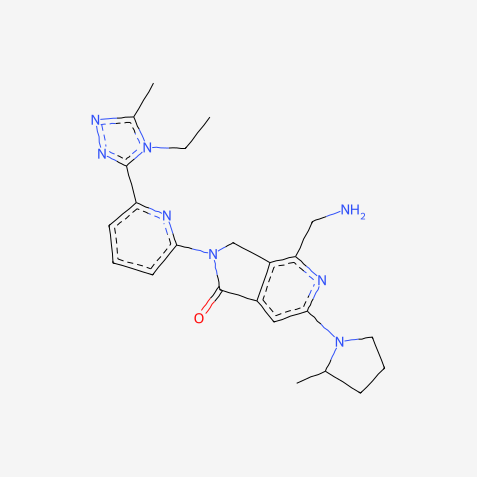 CCn1c(C)nnc1-c1cccc(N2Cc3c(cc(N4CCCC4C)nc3CN)C2=O)n1